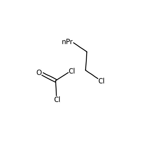 CCCCCCl.O=C(Cl)Cl